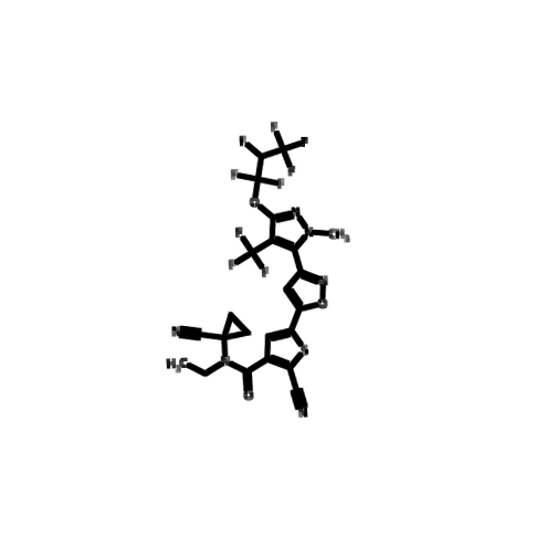 CCN(C(=O)c1cc(-c2cc(-c3c(C(F)(F)F)c(OC(F)(F)C(F)C(F)(F)F)nn3C)no2)sc1C#N)C1(C#N)CC1